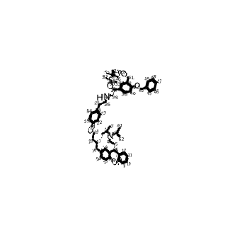 CC(C)N(CC[C@H](c1ccccc1)c1cc(CCCCOc2ccc(CCNC[C@H](O[Si](C)(C)C(C)(C)C)c3ccc(OCc4ccccc4)c(CO)c3)cc2)ccc1O)C(C)C